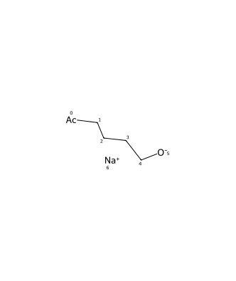 CC(=O)CCCC[O-].[Na+]